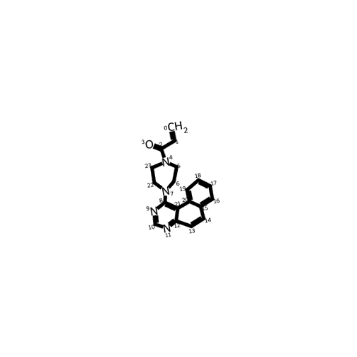 C=CC(=O)N1CCN(c2ncnc3ccc4ccccc4c23)CC1